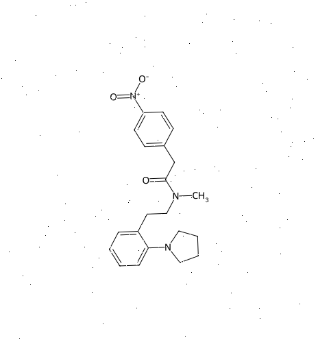 CN(CCc1ccccc1N1CCCC1)C(=O)Cc1ccc([N+](=O)[O-])cc1